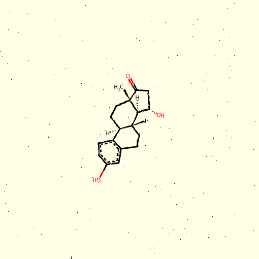 C[C@]12CC[C@@H]3c4ccc(O)cc4CC[C@H]3[C@@H]1[C@@H](O)CC2=O